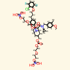 COc1ccc(CN(C(=O)C2C(c3ccc(CCCOc4c(F)ccc(F)c4Cl)cc3)CC3CC(COC(=O)OCCOCCON(O)O)CC2N3C(=O)OCCOCCON(O)O)C2CC2)cc1C